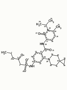 CCOC(=O)CS(=O)(=O)Nc1ccc(C(=O)Nc2ccc(C)n(C(C)C)c2=O)c(N2CCC3(CC2)CC3)c1